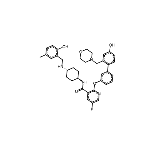 Cc1ccc(O)c(CN[C@H]2CC[C@H](NC(=O)c3cc(F)cnc3Oc3cccc(-c4ccc(O)cc4CN4CCOCC4)c3)CC2)c1